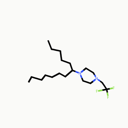 CCCCCCCC(CCCCC)N1CCN(CC(F)(F)F)CC1